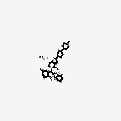 CN1CCC(c2ccc(-c3cc4c(s3)CCN(C(c3nc5ccccc5[nH]3)c3cc(F)ccc3O)C4=O)cc2)CC1.Cl.Cl